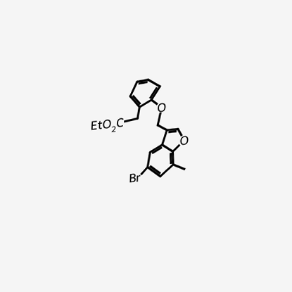 CCOC(=O)Cc1ccccc1OCc1coc2c(C)cc(Br)cc12